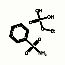 CCOP(=O)(O)O.NS(=O)(=O)c1ccccc1